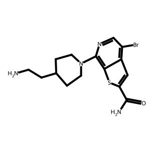 NCCC1CCN(c2ncc(Br)c3cc(C(N)=O)sc23)CC1